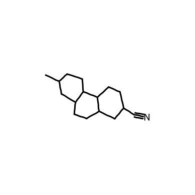 CC1CCC2C(CCC3CC(C#N)CCC32)C1